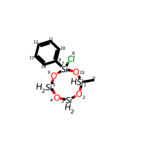 C[SiH]1O[SiH2]O[SiH2]O[Si](Cl)(c2ccccc2)O1